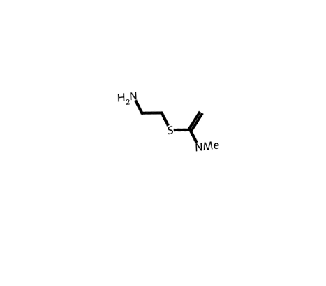 C=C(NC)SCCN